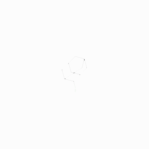 FC1[C]2CC3CC(C2)CC1C3